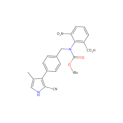 Cc1c[nH]c(C#N)c1-c1ccc(CN(C(=O)OC(C)(C)C)c2c(C(=O)O)cccc2[N+](=O)[O-])cc1